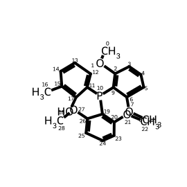 COc1cccc(OC)c1P(c1cccc(C)c1O)c1c(OC)cccc1OC